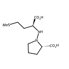 CSCC[C@H](NN1CCC[C@H]1C(=O)O)C(=O)O